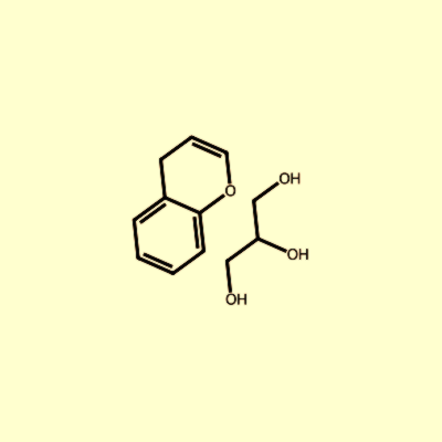 C1=COc2ccccc2C1.OCC(O)CO